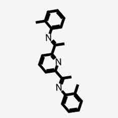 C/C(=N\c1ccccc1C)c1cccc(/C(C)=N/c2ccccc2C)n1